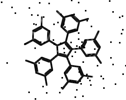 Cc1cc(C)cc(C2=C(c3cc(C)cc(C)c3)C(c3cc(C)cc(C)c3)C(c3cc(C)cc(C)c3)=C2c2cc(C)cc(C)c2)c1